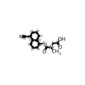 CN(CC(=O)O)C(=O)Sc1cccc2c(C#N)cccc12